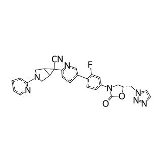 N#CC1(c2ccc(-c3ccc(N4C[C@H](Cn5ccnn5)OC4=O)cc3F)cn2)C2CN(c3ccccn3)CC21